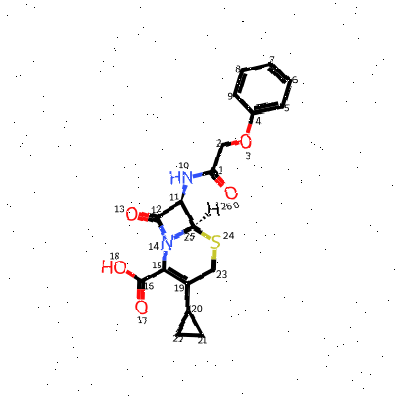 O=C(COc1ccccc1)N[C@@H]1C(=O)N2C(C(=O)O)=C(C3CC3)CS[C@H]12